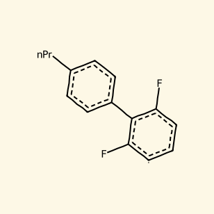 CCCc1ccc(-c2c(F)[c]ccc2F)cc1